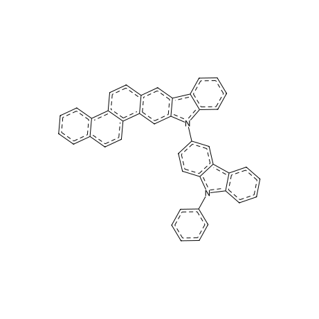 c1ccc(-n2c3ccccc3c3cc(-n4c5ccccc5c5cc6ccc7c8ccccc8ccc7c6cc54)ccc32)cc1